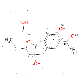 CCCCC(O)(COCCO)Cc1ccc(O)c(C(C)=O)c1